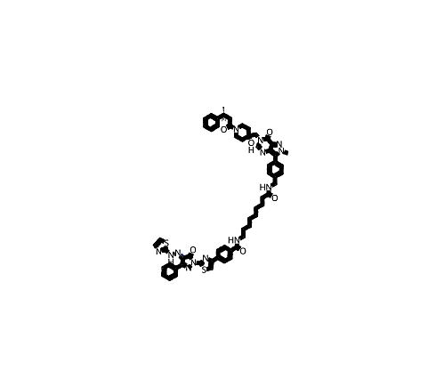 C[C@H](CC(=O)N1CCC(O)(Cn2cnc3c(-c4ccc(CNC(=O)CCCCCCCCNC(=O)c5ccc(-c6csc(N7N=C(c8ccccc8)/C(=N\Nc8nccs8)C7=O)n6)cc5)cc4)n(C)nc3c2=O)CC1)c1ccccc1